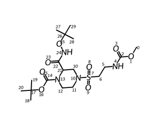 COC(=O)NCCS(=O)(=O)N1CCN(C(=O)OC(C)(C)C)C(C(=O)NOC(C)(C)C)C1